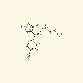 N#Cc1ccc(-c2cc(NCCO)cc3c2CNC3)cc1